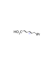 CC(C)C/C=C/C=CC(=O)O